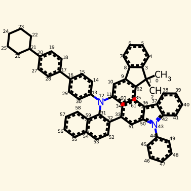 CC1(C)c2ccccc2-c2cc(N(c3ccc(-c4ccc(C5CCCCC5)cc4)cc3)c3c(-c4ccc5c6ccccc6n(-c6ccccc6)c5c4)ccc4ccccc34)ccc21